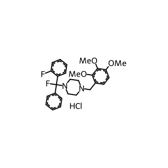 COc1ccc(CN2CCN(C(F)(c3ccccc3)c3ccccc3F)CC2)c(OC)c1OC.Cl